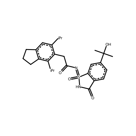 CC(C)c1cc2c(c(C(C)C)c1CC(=O)N=S1(=O)NC(=O)c3ccc(C(C)(C)O)cc31)CCC2